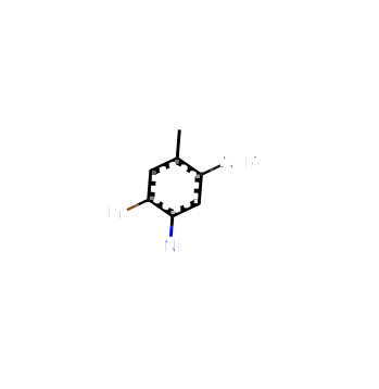 CC(=O)Nc1cc(N)c(Br)cc1C